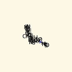 O=C(/C=C/CN1CC2CC1CO2)N1CCc2c(sc3ncnc(Nc4ccc(Oc5ccc6ncnn6c5)c(Cl)c4)c23)C1